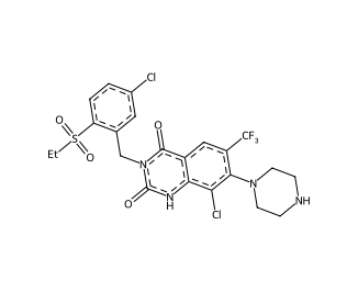 CCS(=O)(=O)c1ccc(Cl)cc1Cn1c(=O)[nH]c2c(Cl)c(N3CCNCC3)c(C(F)(F)F)cc2c1=O